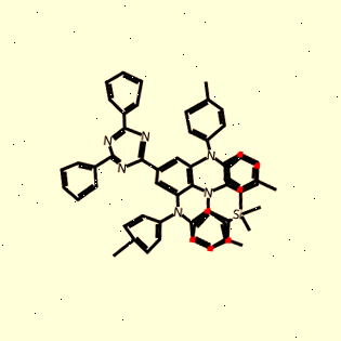 Cc1ccc(N(c2ccc(C)cc2)c2cc(-c3nc(-c4ccccc4)nc(-c4ccccc4)n3)cc(N(c3ccc(C)cc3)c3ccc(C)cc3)c2N2c3ccccc3[Si](C)(C)c3ccccc32)cc1